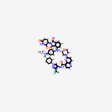 CN(C[C@H]1CC[C@H](n2cc(NC(=O)c3ccnc4ccc(N5CCOCC5)nc34)c(C(F)F)n2)CC1)C1CCC(Nc2cccc3c2C(=O)N(C2CCC(=O)NC2=O)C3=O)CC1